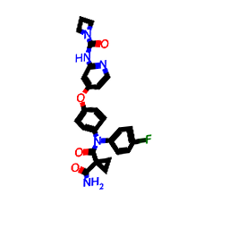 NC(=O)C1(C(=O)N(c2ccc(F)cc2)c2ccc(Oc3ccnc(NC(=O)N4CCC4)c3)cc2)CC1